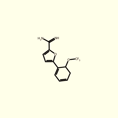 N=C(N)c1ccc(C2=CC=CCC2OC(F)(F)F)o1